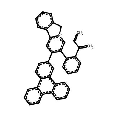 C=CC(=C)c1ccccc1-c1c[n+]2c(cc1-c1ccc3c4ccccc4c4ccccc4c3c1)-c1ccccc1C2